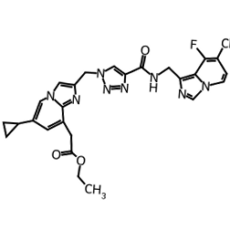 CCOC(=O)Cc1cc(C2CC2)cn2cc(Cn3cc(C(=O)NCc4ncn5ccc(Cl)c(F)c45)nn3)nc12